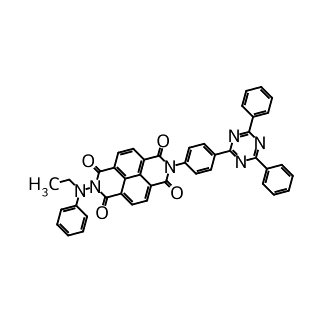 CCN(c1ccccc1)N1C(=O)c2ccc3c4c(ccc(c24)C1=O)C(=O)N(c1ccc(-c2nc(-c4ccccc4)nc(-c4ccccc4)n2)cc1)C3=O